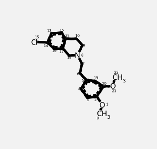 COc1ccc(CCN2CCc3ccc(Cl)cc3C2)cc1OC